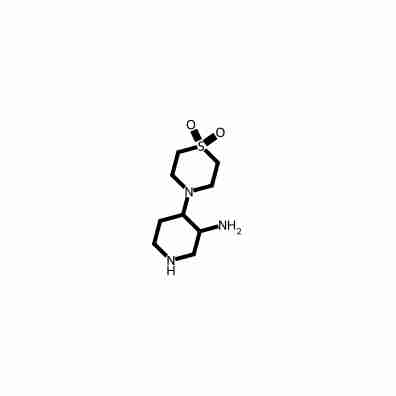 NC1CNCCC1N1CCS(=O)(=O)CC1